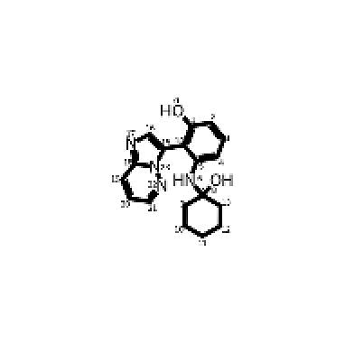 Oc1cccc(NC2(O)CCCCC2)c1-c1cnc2cccnn12